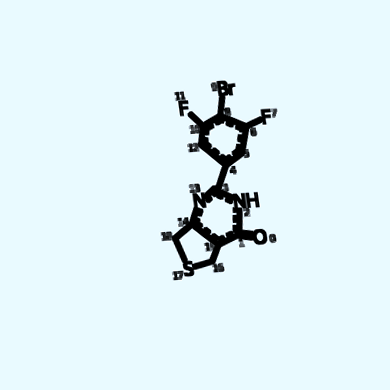 O=c1[nH]c(-c2cc(F)c(Br)c(F)c2)nc2c1CSC2